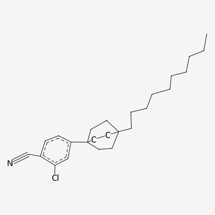 CCCCCCCCCCC12CCC(c3ccc(C#N)c(Cl)c3)(CC1)CC2